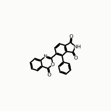 O=C1NC(=O)c2c1ccc(-c1nc3ccccc3c(=O)o1)c2-c1ccccc1